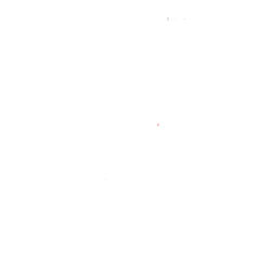 CCCCCCOc1ccc(-c2ccc3c(c2O)C(=O)c2cc(Cl)cc(O)c2C3=O)cc1